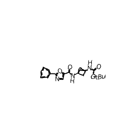 CC(C)(C)OC(=O)NC12CC(NC(=O)c3cnc(-c4ccccc4)o3)(C1)C2